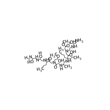 C=C(CNC(CCC)(CCCC)C(=O)CN(CC(=O)OC)C(O)CNC(O)CN)NCC(=O)N(CC(=O)C(CCC)NCC(O)NCC(N)O)CC(O)OC